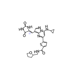 O=C1NC(=O)/C(=C/c2cnn3c(NC4CC4)cc(-c4ccc(C(=O)NCC5CCCO5)s4)nc23)N1